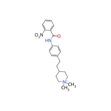 C[N+]1(C)CCC(CCc2ccc(NC(=O)c3ccccc3[N+](=O)[O-])cc2)CC1